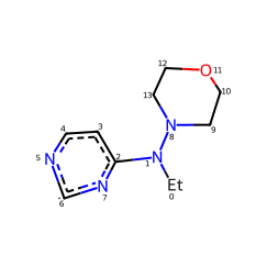 CCN(c1ccn[c]n1)N1CCOCC1